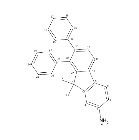 CC1(C)c2cc(N)ccc2-c2ccc(-c3ccccc3)c(-c3ccccc3)c21